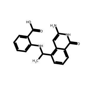 CC(Nc1ccccc1C(=O)O)c1cccc2c(=O)[nH]c(N)cc12